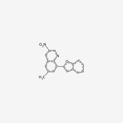 Cc1cc(-c2cc3ccccc3o2)c2ncc([N+](=O)[O-])cc2c1